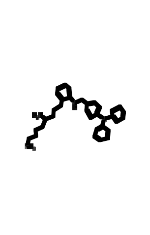 NCCCCC(N)CCCc1ccccc1NCc1ccc(N(c2ccccc2)c2ccccc2)cc1